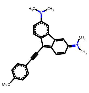 COc1ccc(C#CC2=C3C=CC(=[N+](C)C)C=C3c3cc(N(C)C)ccc32)cc1